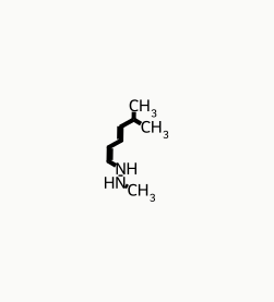 CNN/C=C\C=C\C(C)C